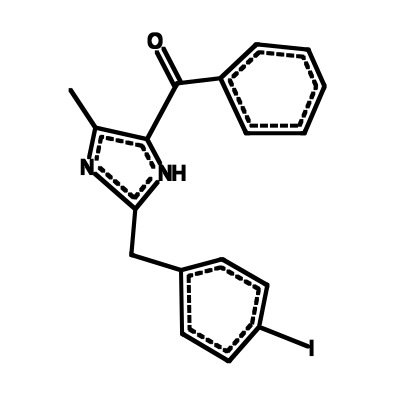 Cc1nc(Cc2ccc(I)cc2)[nH]c1C(=O)c1ccccc1